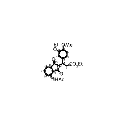 CCOC(=O)CC(c1ccc(OC)c(OCC)c1)N1C(=O)c2cccc(NC(C)=O)c2C1=O